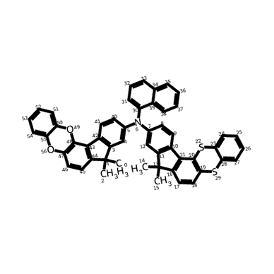 CC1(C)c2cc(N(c3ccc4c(c3)C(C)(C)c3ccc5c(c3-4)Sc3ccccc3S5)c3cccc4ccccc34)ccc2-c2c1ccc1c2Oc2ccccc2O1